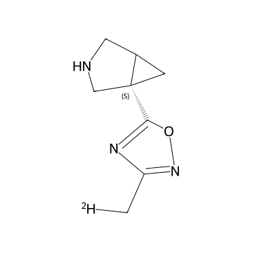 [2H]Cc1noc([C@]23CNCC2C3)n1